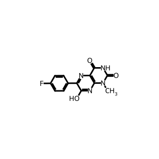 Cn1c(=O)[nH]c(=O)c2nc(-c3ccc(F)cc3)c(O)nc21